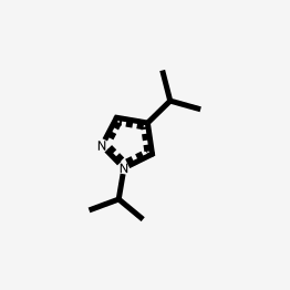 CC(C)c1cnn(C(C)C)c1